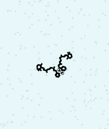 CC(C=CC1=C(C)CCCC1(C)C)=CC=CC(C)=CCc1ccccc1S(=O)(=O)c1ccccc1CC=C(C)C=CC=C(C)C=CC1=C(C)CCCC1(C)C